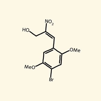 COc1cc(/C=C(\CO)[N+](=O)[O-])c(OC)cc1Br